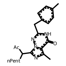 CCCCCC(C(C)=O)c1nc(C)c2c(=O)[nH]c(Cc3ccc(C)cc3)nn12